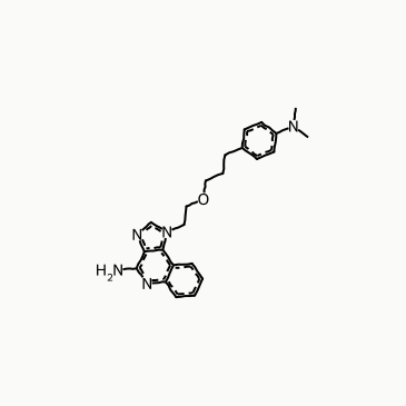 CN(C)c1ccc(CCCOCCn2cnc3c(N)nc4ccccc4c32)cc1